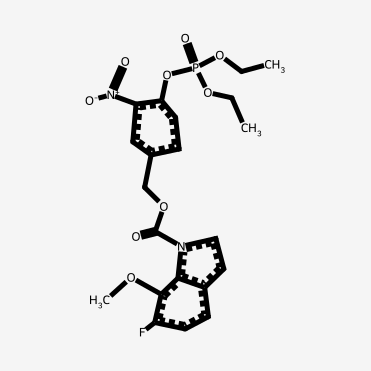 CCOP(=O)(OCC)Oc1ccc(COC(=O)n2ccc3ccc(F)c(OC)c32)cc1[N+](=O)[O-]